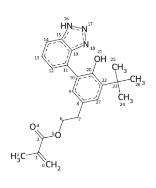 C=C(C)C(=O)OCCc1cc(-c2cccc3[nH]nnc23)c(O)c(C(C)(C)C)c1